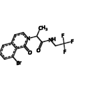 CC(C(=O)NCC(F)(F)F)n1ccc2cccc(Br)c2c1=O